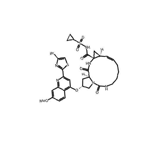 COc1ccc2c(O[C@@H]3C[C@H]4C(=O)N[C@]5(C(=O)NS(=O)(=O)C6CC6)C[C@H]5/C=C\CCCCNC(=O)N4C3)cc(-c3nc(C(C)C)cs3)nc2c1